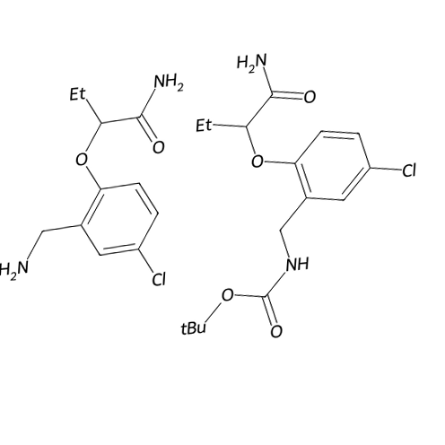 CCC(Oc1ccc(Cl)cc1CN)C(N)=O.CCC(Oc1ccc(Cl)cc1CNC(=O)OC(C)(C)C)C(N)=O